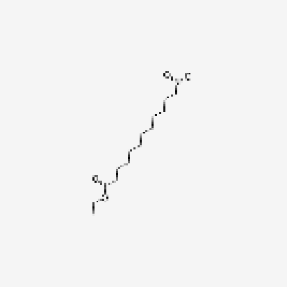 CCOC(=O)CCCCCCCCCCC[N+](=O)[O-]